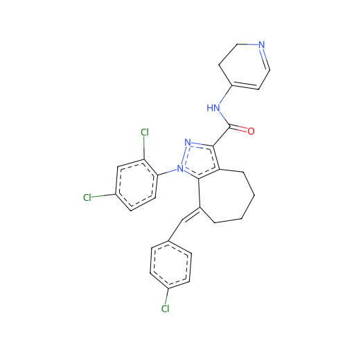 O=C(NC1=CC=NCC1)c1nn(-c2ccc(Cl)cc2Cl)c2c1CCCC/C2=C\c1ccc(Cl)cc1